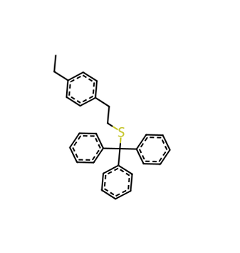 CCc1ccc(CCSC(c2ccccc2)(c2ccccc2)c2ccccc2)cc1